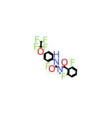 CN(C(=O)Nc1ccc(OC(F)(F)C(F)F)cc1F)C(=O)c1c(F)cccc1F